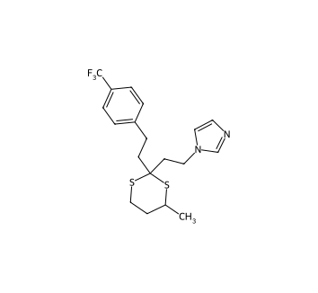 CC1CCSC(CCc2ccc(C(F)(F)F)cc2)(CCn2ccnc2)S1